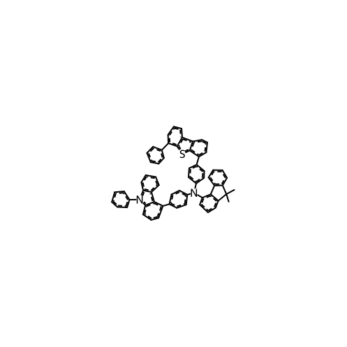 CC1(C)c2ccccc2-c2c(N(c3ccc(-c4cccc5c4sc4c(-c6ccccc6)cccc45)cc3)c3ccc(-c4cccc5c4c4ccccc4n5-c4ccccc4)cc3)cccc21